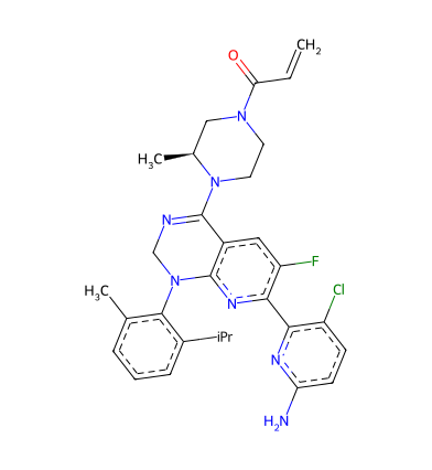 C=CC(=O)N1CCN(C2=NCN(c3c(C)cccc3C(C)C)c3nc(-c4nc(N)ccc4Cl)c(F)cc32)[C@@H](C)C1